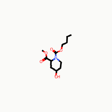 CCCCOC(=O)N1CCC(O)CC1C(=O)OC